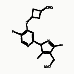 COCc1c(C)nn(-c2cc(OC3CN(C=O)C3)c(F)cn2)c1C